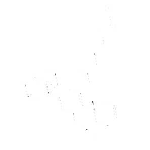 CC1=CCC2[C@@H](C1)c1c(OC(=O)CCCO[N+](=O)[O-])cc(C34CC5CC(CC(C5)C3)C4)cc1OC2(C)C